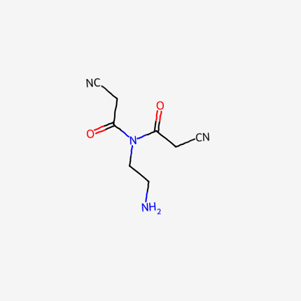 N#CCC(=O)N(CCN)C(=O)CC#N